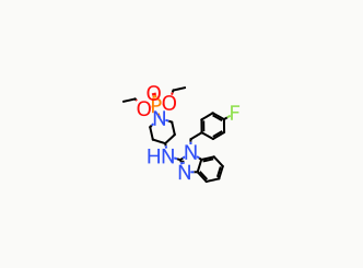 CCOP(=O)(OCC)N1CCC(Nc2nc3ccccc3n2Cc2ccc(F)cc2)CC1